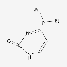 CCN(c1cc[nH]c(=O)n1)C(C)C